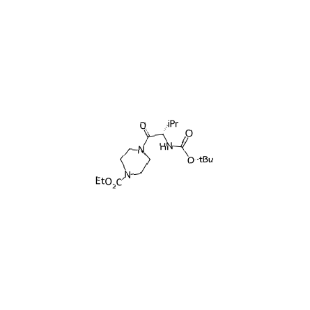 CCOC(=O)N1CCN(C(=O)[C@@H](NC(=O)OC(C)(C)C)C(C)C)CC1